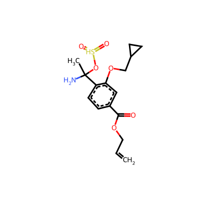 C=CCOC(=O)c1ccc(C(C)(N)O[SH](=O)=O)c(OCC2CC2)c1